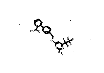 Cc1nc(NCc2ccc(-c3ccccc3C(=O)O)cc2)cc(C(F)(F)C(F)(F)F)n1